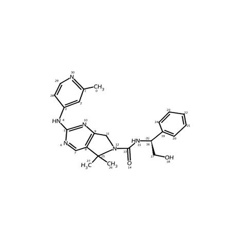 Cc1cc(Nc2ncc3c(n2)CN(C(=O)N[C@H](CO)c2ccccc2)C3(C)C)ccn1